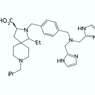 CCC1N(Cc2ccc(CN(Cc3ncc[nH]3)Cc3ncc[nH]3)cc2)[C@H](C(=O)O)CC12CCN(CC(C)C)CC2